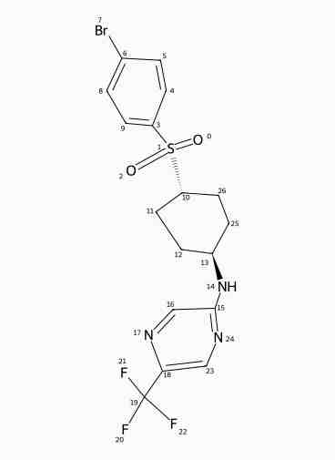 O=S(=O)(c1ccc(Br)cc1)[C@H]1CC[C@H](Nc2cnc(C(F)(F)F)cn2)CC1